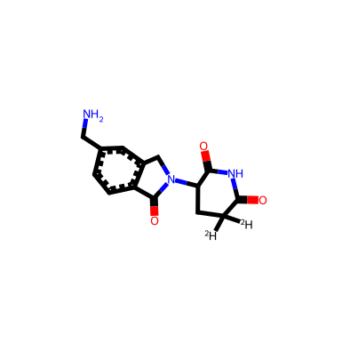 [2H]C1([2H])CC(N2Cc3cc(CN)ccc3C2=O)C(=O)NC1=O